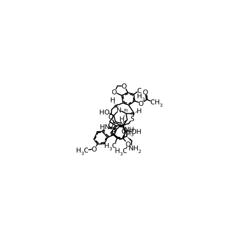 COc1ccc2[nH]c3c(c2c1)C[C@H](CN)N[C@]31CS[C@@H]2c3c(OC(C)=O)c(C)c4c(c3[C@H](COC1=O)N1[C@@H]2C2c3c(cc(C)c(OC)c3O)CC1(O)CN2C)OCO4